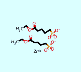 CCOC(=O)CCCCP(=O)([O-])[O-].CCOC(=O)CCCCP(=O)([O-])[O-].[Zr+4]